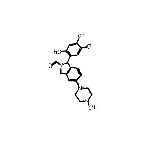 CN1CCN(c2ccc3c(c2)CN(C=O)C3c2cc(Cl)c(O)cc2O)CC1